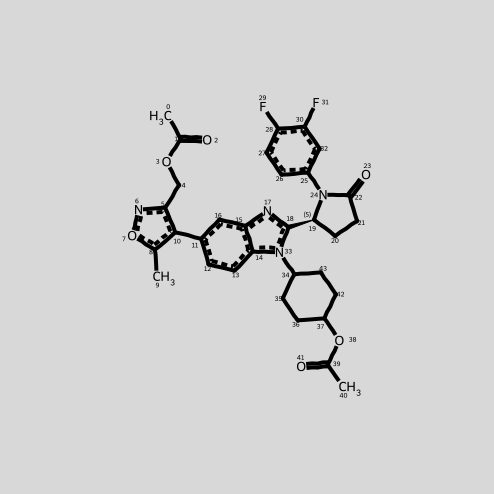 CC(=O)OCc1noc(C)c1-c1ccc2c(c1)nc([C@@H]1CCC(=O)N1c1ccc(F)c(F)c1)n2C1CCC(OC(C)=O)CC1